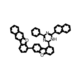 c1ccc(C2=NC(c3cccc4oc5cc(-c6cccc7c6oc6cc8ccccc8cc67)ccc5c34)NC(c3ccc4ccccc4c3)=N2)cc1